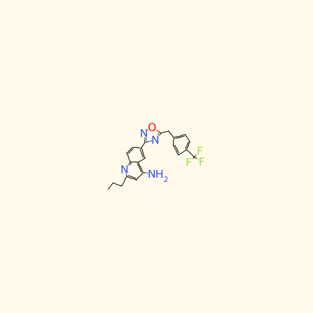 CCCc1cc(N)c2cc(-c3noc(Cc4ccc(C(F)(F)F)cc4)n3)ccc2n1